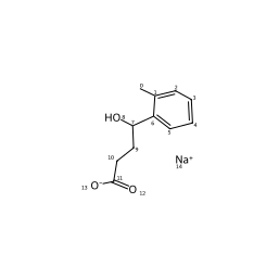 Cc1ccccc1C(O)CCC(=O)[O-].[Na+]